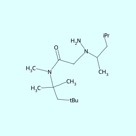 CC(C)CC(C)N(N)CC(=O)N(C)C(C)(C)CC(C)(C)C